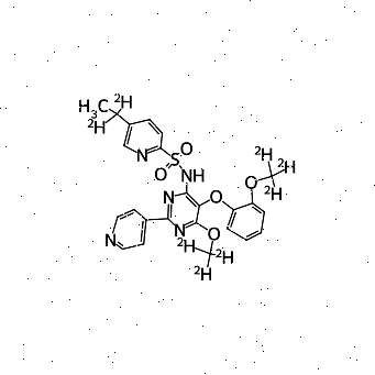 [2H]C([2H])([2H])Oc1ccccc1Oc1c(NS(=O)(=O)c2ccc(C([2H])([2H])C)cn2)nc(-c2ccncc2)nc1OC([2H])([2H])[2H]